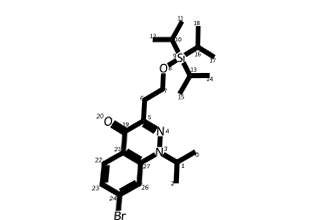 CC(C)n1nc(CCO[Si](C(C)C)(C(C)C)C(C)C)c(=O)c2ccc(Br)cc21